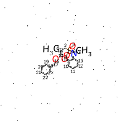 C[C@H](CS(=O)(=O)N(C)c1ccccc1)C(=O)OCc1ccccc1